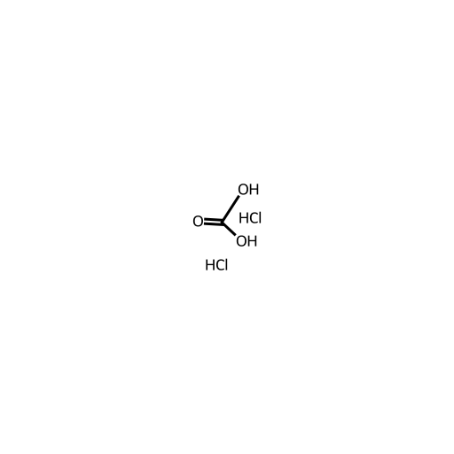 Cl.Cl.O=C(O)O